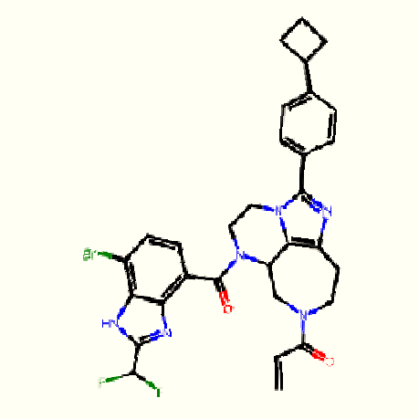 C=CC(=O)N1CCc2nc(-c3ccc(C4CCC4)cc3)n3c2C(C1)N(C(=O)c1ccc(Br)c2[nH]c(C(F)F)nc12)CC3